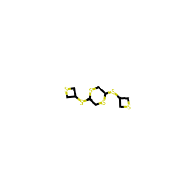 C1SCC1SC1CSC(SC2CSC2)CS1